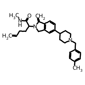 C=CCCC(C(=O)NC)N1Cc2cc(C3CCN(Cc4ccc(C)cc4)CC3)ccc2C1=C